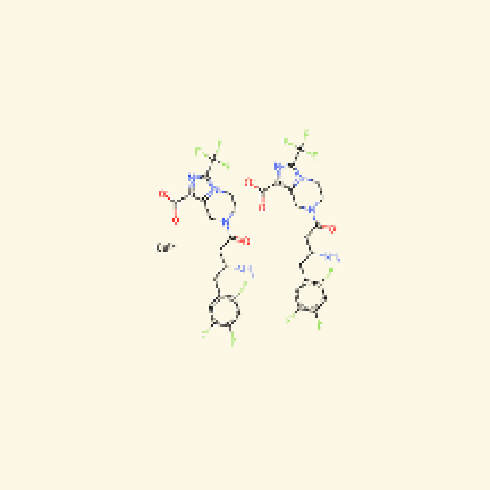 NC(CC(=O)N1CCn2c(C(F)(F)F)nc(C(=O)[O-])c2C1)Cc1cc(F)c(F)cc1F.N[C@@H](CC(=O)N1CCn2c(C(F)(F)F)nc(C(=O)[O-])c2C1)Cc1cc(F)c(F)cc1F.[Ca+2]